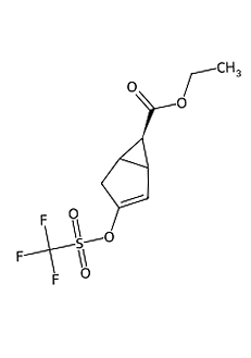 CCOC(=O)[C@H]1C2C=C(OS(=O)(=O)C(F)(F)F)CC21